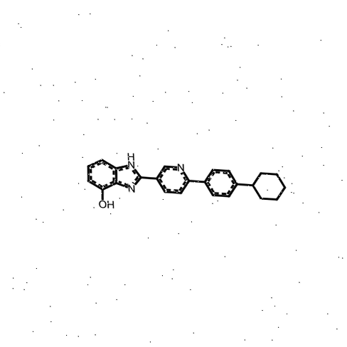 Oc1cccc2[nH]c(-c3ccc(-c4ccc(C5CCCCC5)cc4)nc3)nc12